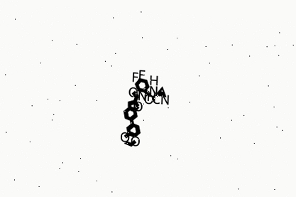 N#CC1(NC(=O)C2(NC(=O)c3cc4ccc(-c5ccc6c(c5)OCCO6)cc4o3)CCC(F)(F)CC2)CC1